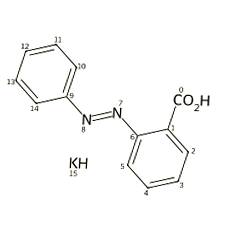 O=C(O)c1ccccc1N=Nc1ccccc1.[KH]